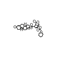 CC1(OC(=O)C2C3CC4C(OC(=O)C42)C3OC(=O)CN2CCCCC2)CC[C@H]2C3CCC4=CC(=O)CC[C@]4(C)[C@H]3CC[C@@]21C